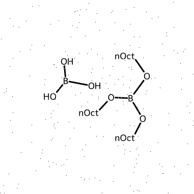 CCCCCCCCOB(OCCCCCCCC)OCCCCCCCC.OB(O)O